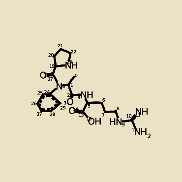 CC(C(=O)NC(CCCNC(=N)N)C(=O)O)N(C(=O)C1CCCN1)c1ccccc1